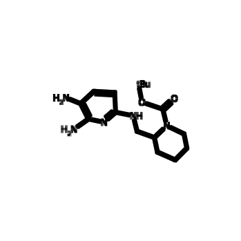 CC(C)(C)OC(=O)N1CCCCC1CNc1ccc(N)c(N)n1